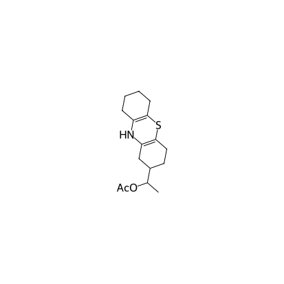 CC(=O)OC(C)C1CCC2=C(C1)NC1=C(CCCC1)S2